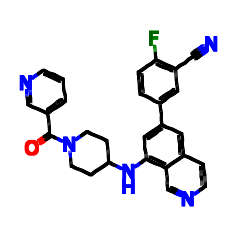 N#Cc1cc(-c2cc(NC3CCN(C(=O)c4cccnc4)CC3)c3cnccc3c2)ccc1F